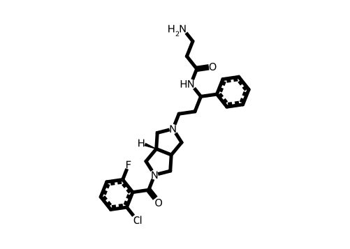 NCCC(=O)NC(CCN1CC2CN(C(=O)c3c(F)cccc3Cl)C[C@@H]2C1)c1ccccc1